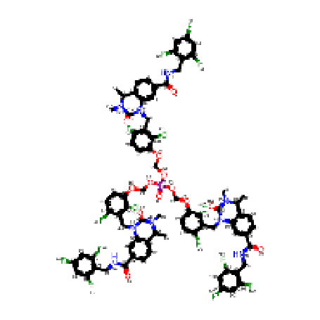 CC1c2ccc(C(=O)NCc3c(F)cc(F)cc3F)cc2N(Cc2c(F)ccc(OCOP(=O)(OCOc3ccc(F)c(CN4C(=O)N(C)C(C)c5ccc(C(=O)NCc6c(F)cc(F)cc6F)cc54)c3Cl)OCOc3ccc(F)c(CN4C(=O)N(C)C(C)c5ccc(C(=O)NCc6c(F)cc(F)cc6F)cc54)c3Cl)c2Cl)C(=O)N1C